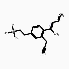 C#CCc1cc(CC[Si](C(C)C)(C(C)C)C(C)C)ccc1/C(C)=C/C=C